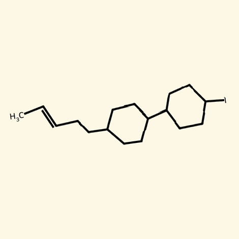 C/C=C/CCC1CCC(C2CCC(I)CC2)CC1